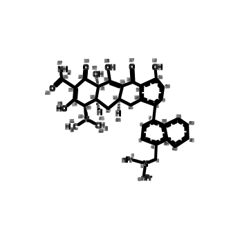 CCCN(CCC)Cc1ccc(-c2ccc(O)c3c2C[C@H]2C[C@H]4[C@@H](N(C)C)C(O)=C(C(N)=O)C(=O)[C@@]4(O)C(O)=C2C3=O)c2ccccc12